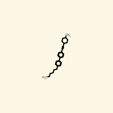 CCCCCCc1ccc(-c2ccc(C#CC3CCC(C)CC3)cc2)cc1